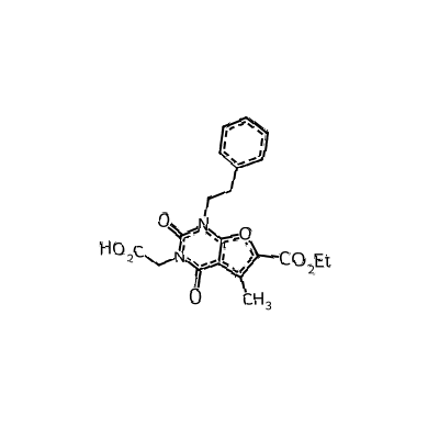 CCOC(=O)c1oc2c(c1C)c(=O)n(CC(=O)O)c(=O)n2CCc1ccccc1